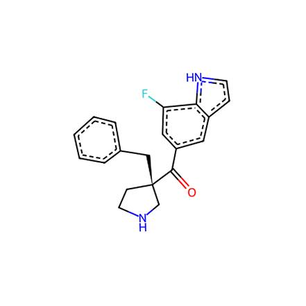 O=C(c1cc(F)c2[nH]ccc2c1)[C@@]1(Cc2ccccc2)CCNC1